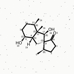 C[C@@H]1CCC(=O)[C@@]12C[C@@H]1[C@@H](O)CC[C@@H](C)[C@]1(C)[C@H]2O